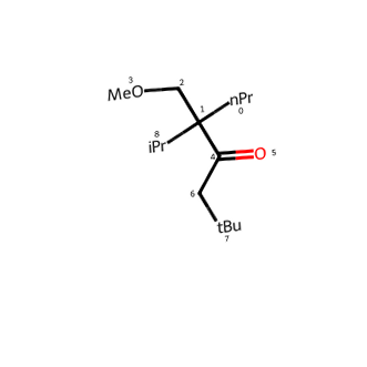 CCCC(COC)(C(=O)CC(C)(C)C)C(C)C